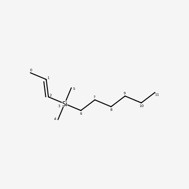 CC=C[Si](C)(C)CCCCCC